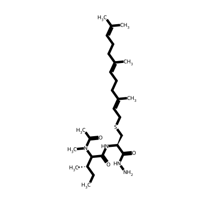 CC[C@H](C)C(C(=O)N[C@@H](CSC/C=C(\C)CC/C=C(\C)CCC=C(C)C)C(=O)NN)N(C)C(C)=O